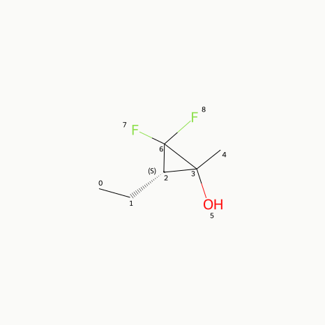 CC[C@H]1C(C)(O)C1(F)F